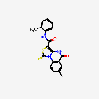 Cc1ccc2c(c1)c(=O)[nH]c1c(C(=O)Nc3ccccc3C)sc(=S)n12